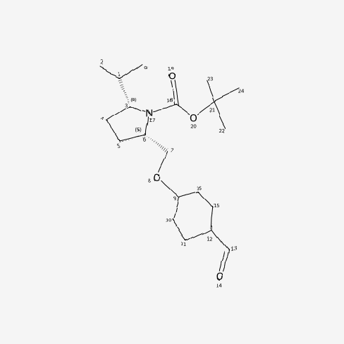 CC(C)[C@H]1CC[C@@H](COC2CCC(C=O)CC2)N1C(=O)OC(C)(C)C